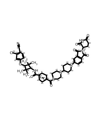 CC1(C)C(NC(=O)C23CCC(C(=O)N4CCN(C5CCN(c6ccc7c(c6)C(=O)N(C6CCC(=O)NC6=O)C7=O)CC5)CC4)(CC2)CC3)C(C)(C)C1Oc1ccc(C#N)c(Cl)c1